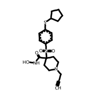 C#CCN1CCC(C(=O)NO)(S(=O)(=O)c2ccc(SC3CCCC3)cc2)CC1